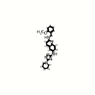 COc1ccccc1CNc1ccc2cc(Nc3nc(N4CCCCC4)no3)ccc2n1